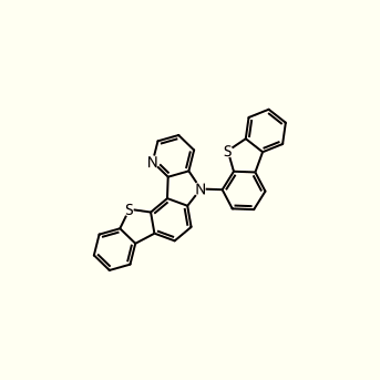 c1ccc2c(c1)sc1c(-n3c4cccnc4c4c5sc6ccccc6c5ccc43)cccc12